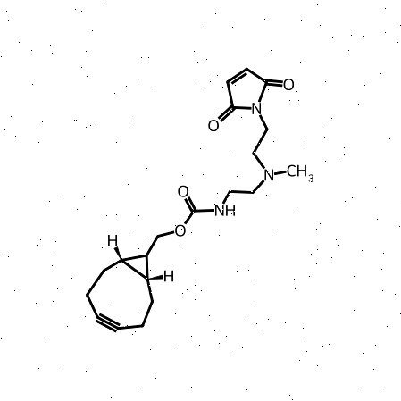 CN(CCNC(=O)OCC1[C@H]2CCC#CCC[C@@H]12)CCN1C(=O)C=CC1=O